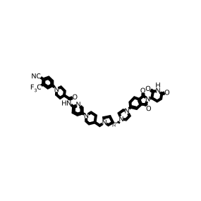 N#Cc1ccc(N2CCC(C(=O)Nc3ccc(N4CCC(CN5CC[C@H](CN6CCN(C7=CC8=C(CC7)C(=O)N(C7CCC(=O)NC7=O)C8=O)CC6)C5)CC4)cn3)CC2)cc1C(F)(F)F